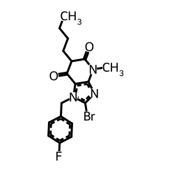 CCCCC1C(=O)c2c(nc(Br)n2Cc2ccc(F)cc2)N(C)C1=O